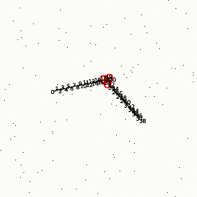 CCCCCCCCCCCCCCCCCOP(OC)OCCCCCCCCCCCCCCCCC